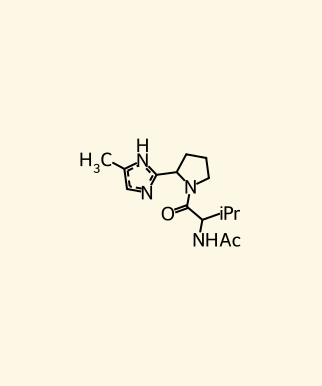 CC(=O)NC(C(=O)N1CCCC1c1ncc(C)[nH]1)C(C)C